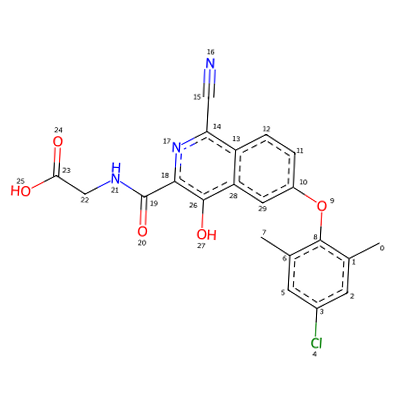 Cc1cc(Cl)cc(C)c1Oc1ccc2c(C#N)nc(C(=O)NCC(=O)O)c(O)c2c1